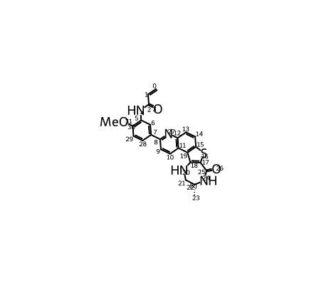 C=CC(=O)Nc1cc(-c2ccc3c(ccc4sc5c(c43)NC[C@@H](C)NC5=O)n2)ccc1OC